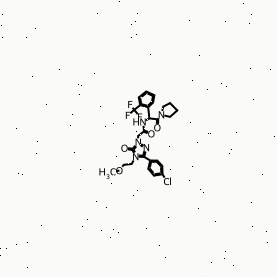 COCCn1c(-c2ccc(Cl)cc2)nn(CC(=O)NC(C(=O)N2CCCC2)c2ccccc2C(F)(F)F)c1=O